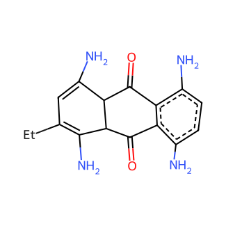 CCC1=C(N)C2C(=O)c3c(N)ccc(N)c3C(=O)C2C(N)=C1